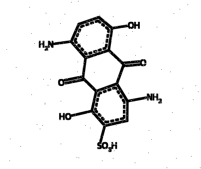 Nc1ccc(O)c2c1C(=O)c1c(O)c(S(=O)(=O)O)cc(N)c1C2=O